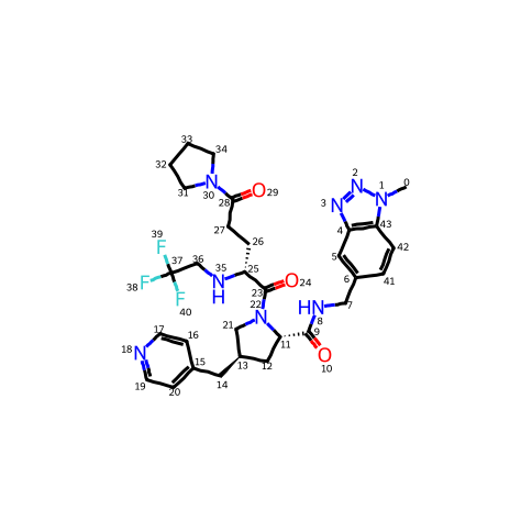 Cn1nnc2cc(CNC(=O)[C@@H]3C[C@@H](Cc4ccncc4)CN3C(=O)[C@@H](CCC(=O)N3CCCC3)NCC(F)(F)F)ccc21